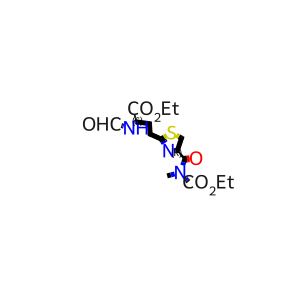 CCOC(=O)[C@H](CCC1=N[C@H](C(=O)N(C)C(=O)OCC)CS1)NC=O